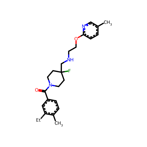 CCc1cc(C(=O)N2CCC(F)(CNCCOc3ccc(C)cn3)CC2)ccc1C